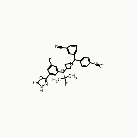 [C-]#[N+]c1ccc(C(c2cccc(C#N)c2)N2CC([C@@H](c3cc(F)cc(-c4n[nH]c(=O)o4)c3)C(C)(C)F)C2)cc1